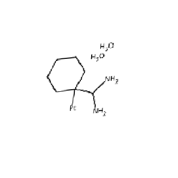 NC(N)[C]1([Pt])CCCCC1.O.O